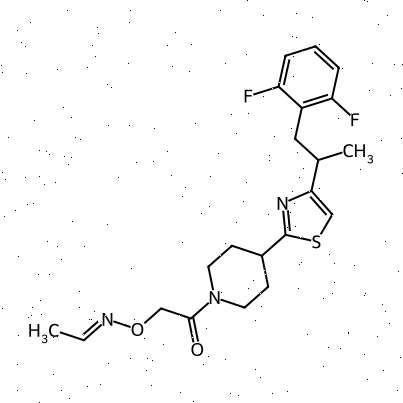 CC=NOCC(=O)N1CCC(c2nc(C(C)Cc3c(F)cccc3F)cs2)CC1